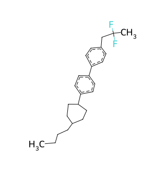 CCCCC1CCC(c2ccc(-c3ccc(CC(C)(F)F)cc3)cc2)CC1